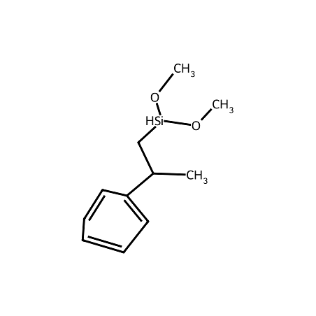 CO[SiH](CC(C)c1ccccc1)OC